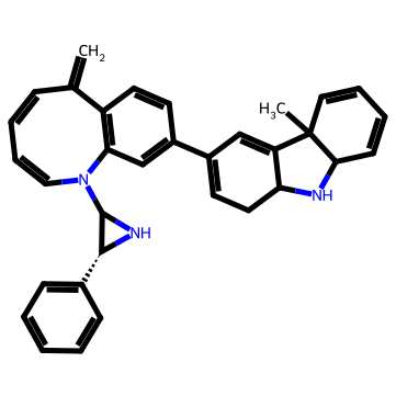 C=C1/C=C\C=C/N(C2N[C@@H]2c2ccccc2)c2cc(C3=CCC4NC5C=CC=CC5(C)C4=C3)ccc21